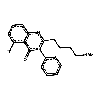 CNCCCCc1nc2cccc(Cl)c2c(=O)n1-c1ccccc1